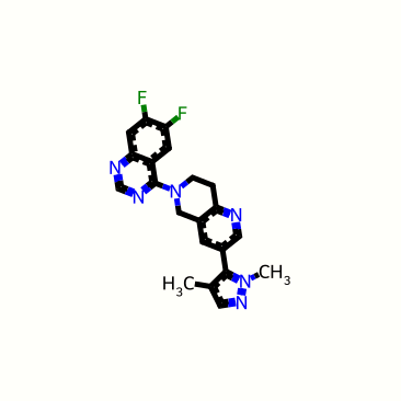 Cc1cnn(C)c1-c1cnc2c(c1)CN(c1ncnc3cc(F)c(F)cc13)CC2